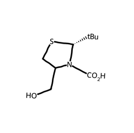 CC(C)(C)[C@H]1SCC(CO)N1C(=O)O